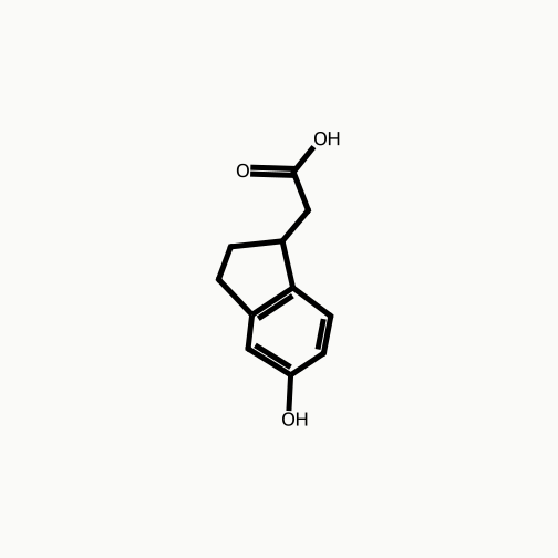 O=C(O)CC1CCc2cc(O)ccc21